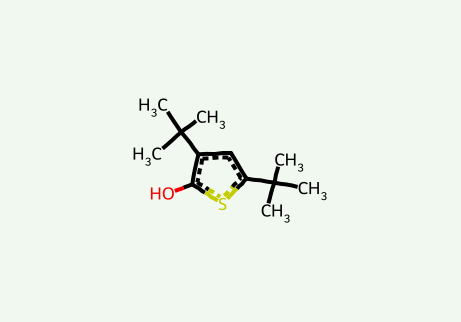 CC(C)(C)c1cc(C(C)(C)C)c(O)s1